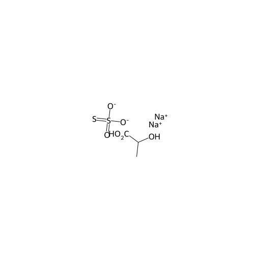 CC(O)C(=O)O.O=S([O-])([O-])=S.[Na+].[Na+]